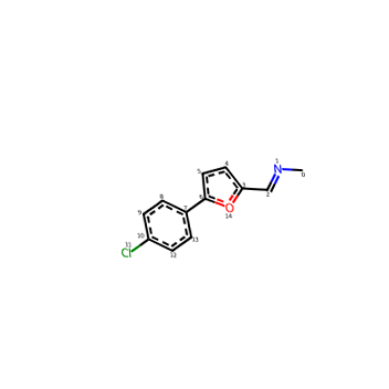 C/N=C/c1ccc(-c2ccc(Cl)cc2)o1